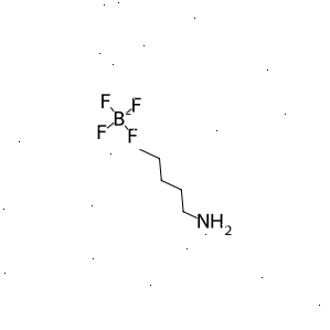 CCCCCN.F[B-](F)(F)F